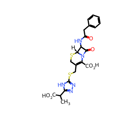 CC(C(=O)O)c1nnc(SCC2=C(C(=O)O)N3C(=O)C(NC(=O)Cc4ccccc4)[C@H]3SC2)[nH]1